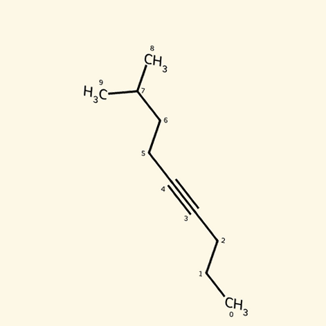 CCCC#CCCC(C)C